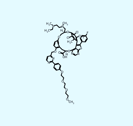 CCN(C)CCN(C)C[C@@H]1COc2ccc(OCc3ccnc(-c4ccc(OCCOCCOCCOC)cc4)n3)c(c2)C[C@H](C(=O)O)Oc2ncnc3sc(-c4ccc(F)cc4)c(c23)-c2c(C)c(Cl)c(c(Cl)c2C)O1